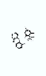 Cc1cc(C)c(S(=O)(=O)[O-])c(C)c1.Fc1ccccc1[I+]c1ccccc1F